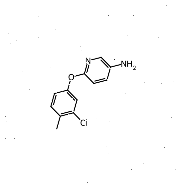 Cc1ccc(Oc2ccc(N)cn2)cc1Cl